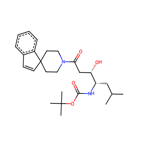 CC(C)C[C@H](NC(=O)OC(C)(C)C)[C@@H](O)CC(=O)N1CCC2(C=Cc3ccccc32)CC1